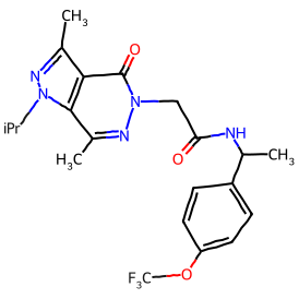 Cc1nn(C(C)C)c2c(C)nn(CC(=O)NC(C)c3ccc(OC(F)(F)F)cc3)c(=O)c12